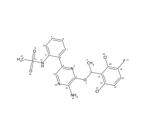 CC(Oc1nc(-c2ccccc2NS(C)(=O)=O)cnc1N)c1c(Cl)ccc(F)c1Cl